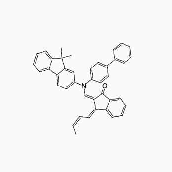 C\C=C/C=C1\C(=C\N(c2ccc(-c3ccccc3)cc2)c2ccc3c(c2)C(C)(C)c2ccccc2-3)C(=O)c2ccccc21